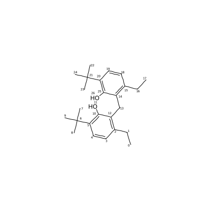 CCc1ccc(C(C)(C)C)c(O)c1Cc1c(CC)ccc(C(C)(C)C)c1O